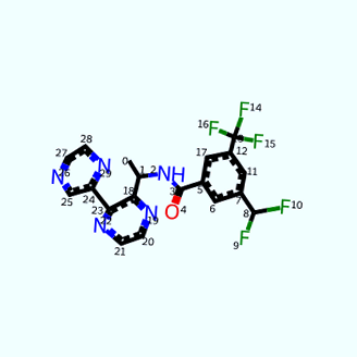 CC(NC(=O)c1cc(C(F)F)cc(C(F)(F)F)c1)c1nccnc1-c1cnccn1